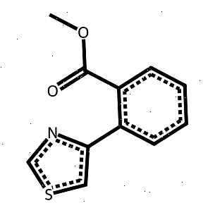 COC(=O)c1ccccc1-c1cscn1